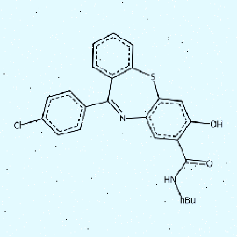 CCCCNC(=O)c1cc2c(cc1O)Sc1ccccc1C(c1ccc(Cl)cc1)=N2